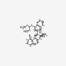 Cl.NCC(CO)COc1ccncc1NC(=O)c1nc(-c2c(F)cccc2F)c(F)cc1N